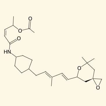 CC(=O)OC(C)/C=C\C(=O)NC1CCC(C/C=C(C)/C=C/C2C[C@]3(CO3)CC(C)(C)O2)CC1